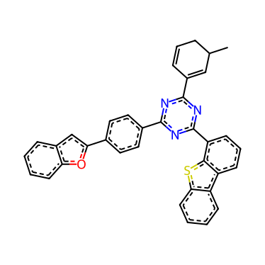 CC1C=C(c2nc(-c3ccc(-c4cc5ccccc5o4)cc3)nc(-c3cccc4c3sc3ccccc34)n2)C=CC1